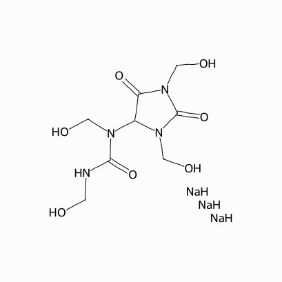 O=C1C(N(CO)C(=O)NCO)N(CO)C(=O)N1CO.[NaH].[NaH].[NaH]